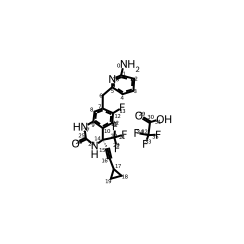 Nc1cccc(Cc2cc3c(cc2F)[C@@](C#CC2CC2)(C(F)(F)F)NC(=O)N3)n1.O=C(O)C(F)(F)F